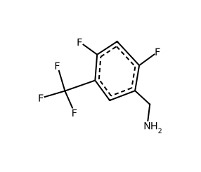 NCc1cc(C(F)(F)F)c(F)cc1F